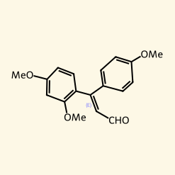 COc1ccc(/C(=C\C=O)c2ccc(OC)cc2OC)cc1